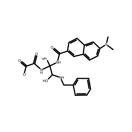 CCCC(NC(=O)C(=O)Cl)(NC(=O)c1ccc2cc(N(C)C)ccc2c1)C(O)NCc1ccccc1